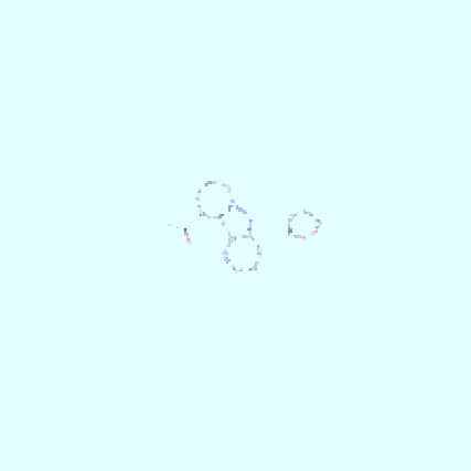 NC(=O)c1cccc2c1c1[c]cc(Cl)cc1n2Cc1ccoc1